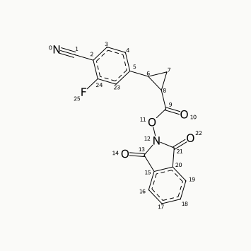 N#Cc1ccc(C2CC2C(=O)ON2C(=O)c3ccccc3C2=O)cc1F